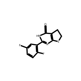 O=c1[nH]c(-c2cc(F)ccc2F)nc2c1CCS2